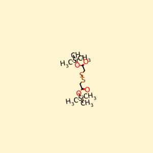 C[Si](C)(C)OC(=O)CSSCC(=O)O[Si](C)(C)C